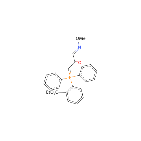 CCOC(=O)c1ccccc1P(=CC(=O)C=NOC)(c1ccccc1)c1ccccc1